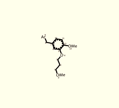 COCCCOc1cc(CC(C)=O)ccc1OC